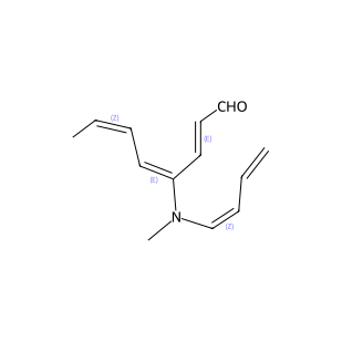 C=C/C=C\N(C)C(/C=C/C=O)=C/C=C\C